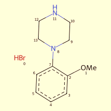 Br.COc1ccccc1N1CCNCC1